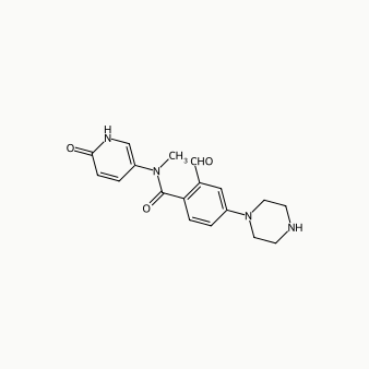 CN(C(=O)c1ccc(N2CCNCC2)cc1C=O)c1ccc(=O)[nH]c1